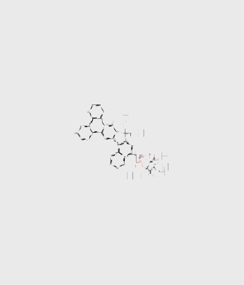 CC1(C)c2cc3c4ccccc4c4ccccc4c3cc2-c2c1cc(B1OC(C)(C)C(C)(C)O1)c1ccccc21